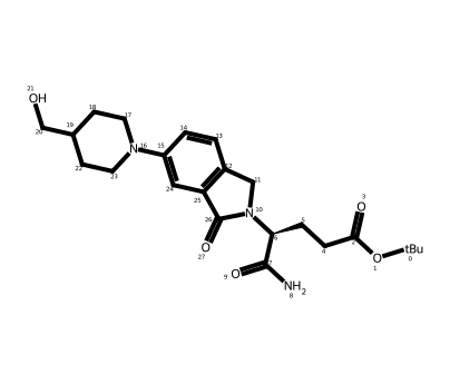 CC(C)(C)OC(=O)CC[C@@H](C(N)=O)N1Cc2ccc(N3CCC(CO)CC3)cc2C1=O